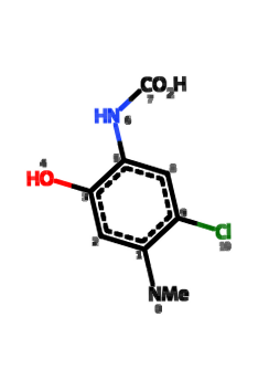 CNc1cc(O)c(NC(=O)O)cc1Cl